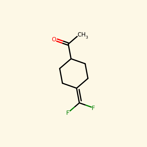 CC(=O)C1CCC(=C(F)F)CC1